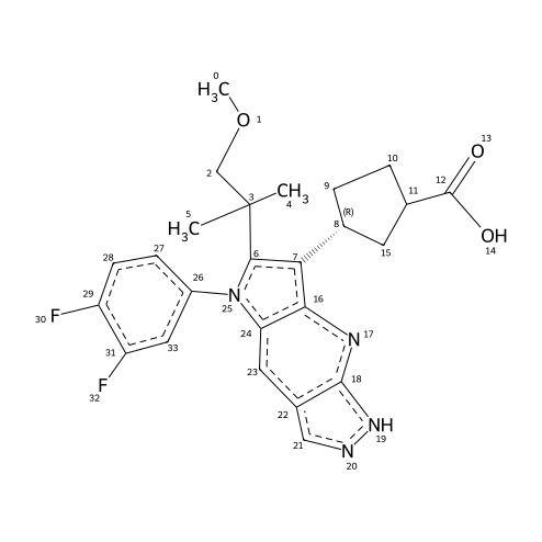 COCC(C)(C)c1c([C@@H]2CCC(C(=O)O)C2)c2nc3[nH]ncc3cc2n1-c1ccc(F)c(F)c1